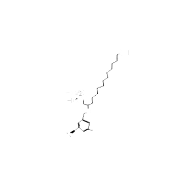 CCCCCCCCCCCCCC(COP(=O)(O)O)OCc1cc(F)cc(C#N)c1